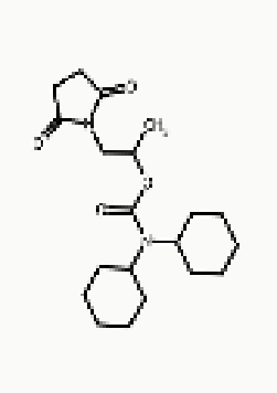 CC(CN1C(=O)CCC1=O)OC(=O)N(C1CCCCC1)C1CCCCC1